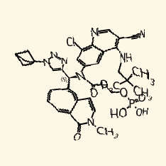 Cn1ccc2c([C@@H](c3cn(C45CC(C4)C5)nn3)N(C(=O)OCOP(=O)(O)O)c3cc(Cl)c4ncc(C#N)c(NCC(C)(C)C)c4c3)cccc2c1=O